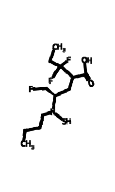 CCCCN(S)[C@@H](CF)CC(C(=O)O)C(F)(F)CC